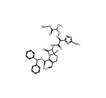 C=CC1=C(C(=O)OC(c2ccccc2)c2ccccc2)N2C(=O)C(NC(=O)C(=NOC(C)C(=O)OC(C)(C)C)c3nsc(N)n3)[C@@H]2SC1